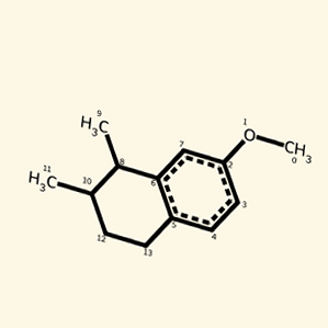 COc1ccc2c(c1)C(C)C(C)CC2